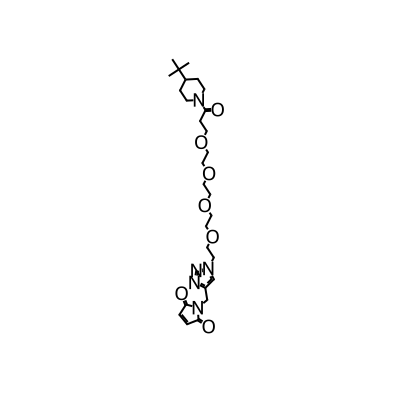 CC(C)(C)C1CCN(C(=O)CCOCCOCCOCCOCCn2cc(CN3C(=O)C=CC3=O)nn2)CC1